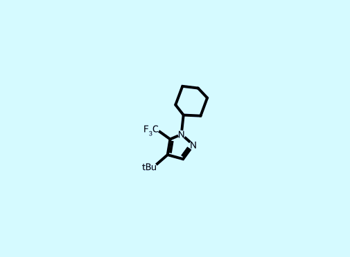 CC(C)(C)c1cnn(C2CCCCC2)c1C(F)(F)F